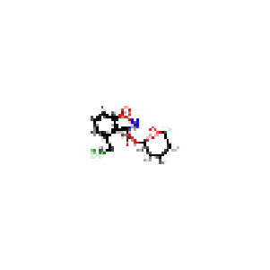 BrCc1cccc2onc(OC3CCCCO3)c12